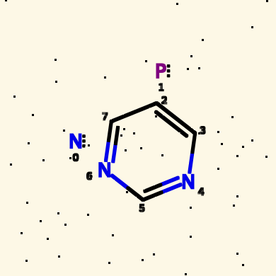 [N].[P].c1cncnc1